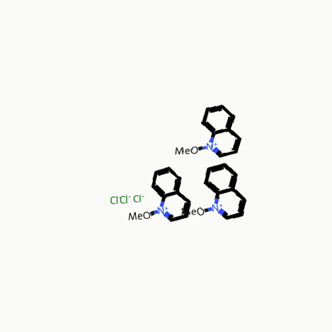 CO[n+]1cccc2ccccc21.CO[n+]1cccc2ccccc21.CO[n+]1cccc2ccccc21.[Cl-].[Cl-].[Cl-]